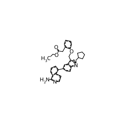 CCOC(=O)Cc1ccccc1OCc1c2cc(-c3cccc4c(N)nccc34)ccc2nn1C1CCCC1